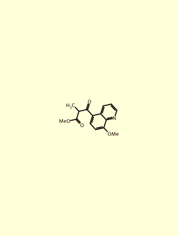 COC(=O)C(C)C(=O)c1ccc(OC)c2ncccc12